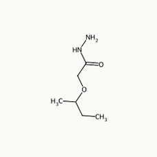 CCC(C)OCC(=O)NN